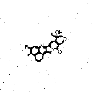 CC[C@@]1(O)COCc2c1cc1n(c2=O)Cc2c-1nc1cc(F)c(C)c3c1c2CCC3